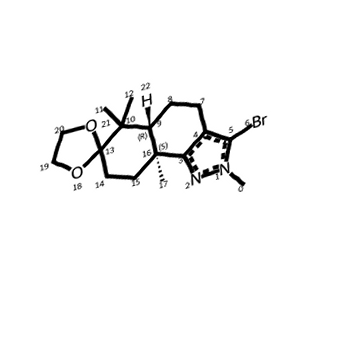 Cn1nc2c(c1Br)CC[C@H]1C(C)(C)C3(CC[C@]21C)OCCO3